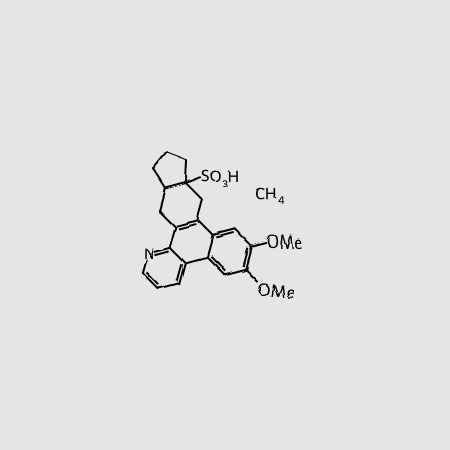 C.COc1cc2c3c(c4ncccc4c2cc1OC)CC1CCCC1(S(=O)(=O)O)C3